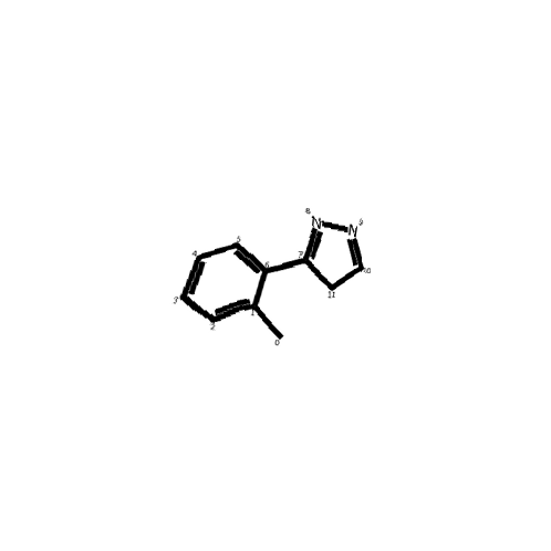 Cc1ccccc1C1=NN=CC1